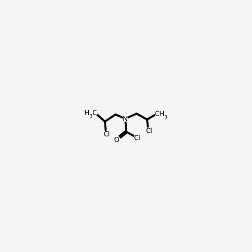 CC(Cl)CN(CC(C)Cl)C(=O)Cl